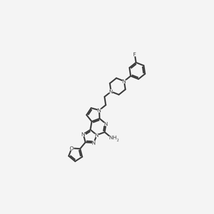 Nc1nc2c(ccn2CCN2CCN(c3cccc(F)c3)CC2)c2nc(-c3ccco3)nn12